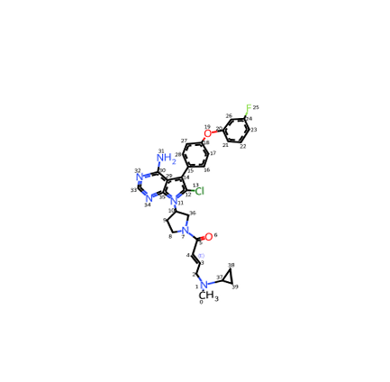 CN(C/C=C/C(=O)N1CCC(n2c(Cl)c(-c3ccc(Oc4cccc(F)c4)cc3)c3c(N)ncnc32)C1)C1CC1